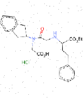 CCOC(=O)C(CCc1ccccc1)NCC(=O)N(CC(=O)O)C1Cc2ccccc2C1.Cl